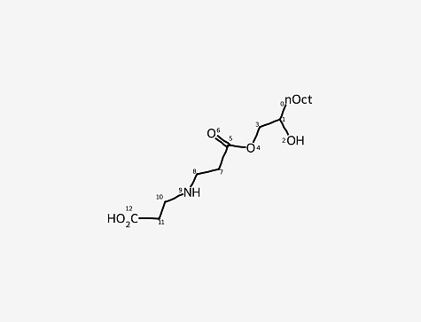 CCCCCCCCC(O)COC(=O)CCNCCC(=O)O